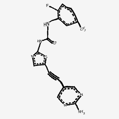 Nc1ncc(C#Cc2cnc(NC(=O)Nc3cc(C(F)(F)F)ccc3F)s2)cn1